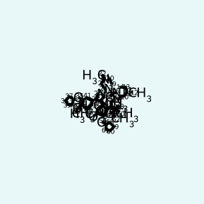 COc1ccc(C2CN(C3CN(C)CCN3C(=O)N3CCN(C)CC3N3C[C@@H](c4ccc(OC)c(OC5CCCC5)c4)[C@](C)(C(C)O)C3)CC2(C)C(C)O)cc1OC1CCCC1